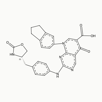 O=C1N[C@@H](Cc2ccc(Nc3ncc4c(=O)c(C(=O)O)cn(-c5ccc6c(c5)CCC6)c4n3)cc2)CO1